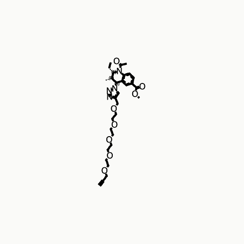 C#CCOCCOCCOCCOCCOCc1cn([C@@H]2c3cc(C(=O)OC)ccc3N(C(C)=O)[C@@H](CC)[C@H]2C)nn1